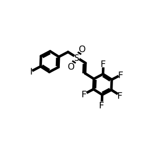 O=S(=O)(C=Cc1c(F)c(F)c(F)c(F)c1F)Cc1ccc(I)cc1